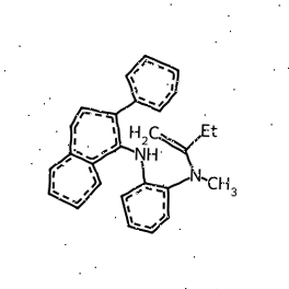 C=C(CC)N(C)c1ccccc1Nc1c(-c2ccccc2)ccc2ccccc12